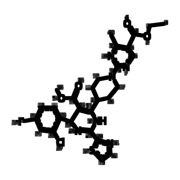 CCOC(=O)c1cnc(N2CCC(C3=C(C(=O)OC)C(c4ccc(F)cc4Cl)N=C(c4nccs4)N3)CC2)nc1C